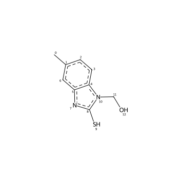 Cc1ccc2c(c1)nc(S)n2CO